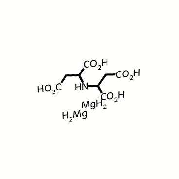 O=C(O)CC(NC(CC(=O)O)C(=O)O)C(=O)O.[MgH2].[MgH2]